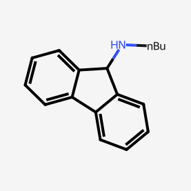 CCCCNC1c2ccccc2-c2ccccc21